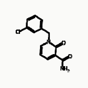 NC(=O)c1cccn(Cc2cccc(Cl)c2)c1=O